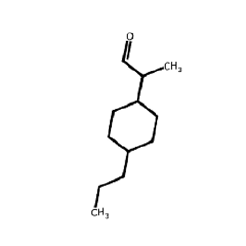 CCCC1CCC(C(C)C=O)CC1